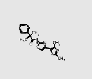 Cc1nc(C)c(-c2csc(NC(=O)C(C)(C)c3ccccc3)n2)s1